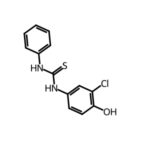 Oc1ccc(NC(=S)Nc2ccccc2)cc1Cl